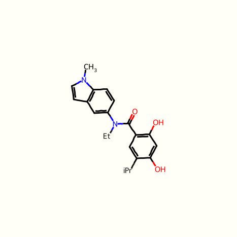 CCN(C(=O)c1cc(C(C)C)c(O)cc1O)c1ccc2c(ccn2C)c1